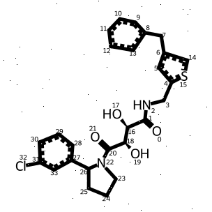 O=C(NCc1cc(Cc2ccccc2)cs1)[C@H](O)[C@@H](O)C(=O)N1CCCC1c1cccc(Cl)c1